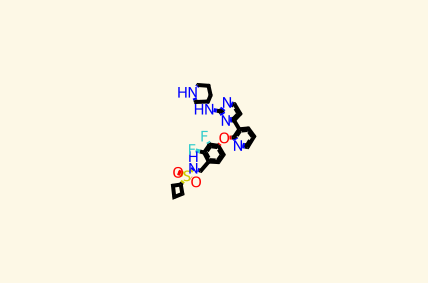 O=S(=O)(NCc1ccc(Oc2ncccc2-c2ccnc(N[C@H]3CCCNC3)n2)c(F)c1F)C1CCC1